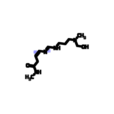 CNC(=O)C/C=C\N=C\NCCCN(C)CO